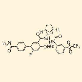 COc1cc(F)c(-c2ccc(C(N)=O)cc2)cc1C(=O)N[C@@H]1[C@H]2CC[C@H](C2)[C@@H]1C(=O)Nc1cccc(S(=O)(=O)C(F)(F)F)c1